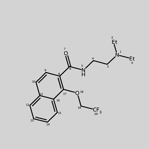 CCN(CC)CCNC(=O)c1ccc2ccccc2c1OCC(F)(F)F